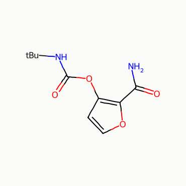 CC(C)(C)NC(=O)Oc1ccoc1C(N)=O